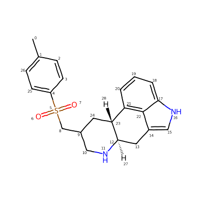 Cc1ccc(S(=O)(=O)CC2CN[C@@H]3Cc4c[nH]c5cccc(c45)[C@H]3C2)cc1